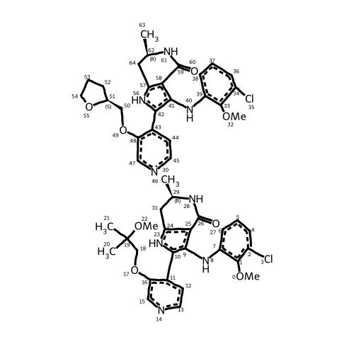 COc1c(Cl)cccc1Nc1c(-c2ccncc2OCC(C)(C)OC)[nH]c2c1C(=O)N[C@H](C)C2.COc1c(Cl)cccc1Nc1c(-c2ccncc2OC[C@@H]2CCCO2)[nH]c2c1C(=O)N[C@H](C)C2